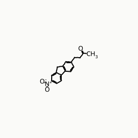 CC(=O)CCc1ccc2c(c1)Cc1cc([N+](=O)[O-])ccc1-2